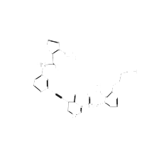 Cc1ccoc1C(=O)Nc1cccc(C#CC2C=NC=C(C(=O)Nc3cccc(CCCO)c3O)C2=S)c1